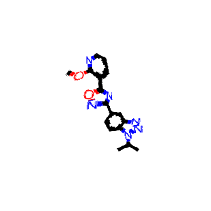 COc1ncccc1-c1nc(-c2ccc3c(c2)nnn3C(C)C)no1